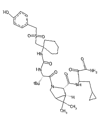 CC(C)(C)[C@H](NC(=O)NC1(CS(=O)(=O)Cc2ccc(O)cc2)CCCCC1)C(=O)N1CC2[C@@H]([C@H]1C(=O)NC(CC1CC1)C(=O)C(N)=O)C2(C)C